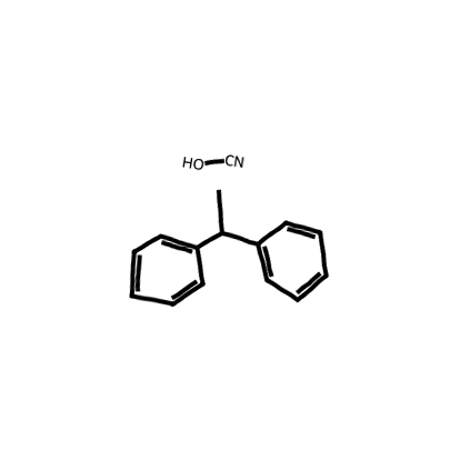 CC(c1ccccc1)c1ccccc1.N#CO